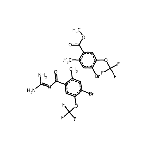 COC(=O)c1cc(OC(F)(F)F)c(Br)cc1C.Cc1cc(Br)c(OC(F)(F)F)cc1C(=O)N=C(N)N